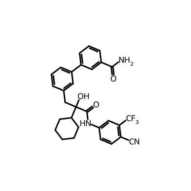 N#Cc1ccc(NC(=O)C(O)(Cc2cccc(-c3cccc(C(N)=O)c3)c2)C2CCCCC2)cc1C(F)(F)F